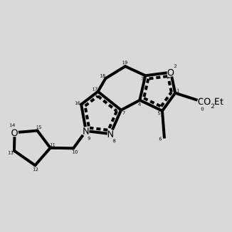 CCOC(=O)c1oc2c(c1C)-c1nn(CC3CCOC3)cc1CC2